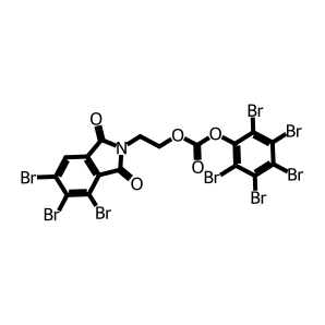 O=C(OCCN1C(=O)c2cc(Br)c(Br)c(Br)c2C1=O)Oc1c(Br)c(Br)c(Br)c(Br)c1Br